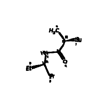 CC[C@@H](NC(=O)[C@@H](C)C(C)(C)C)C(C)C